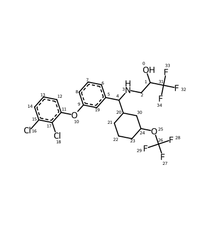 OC(CNC(c1cccc(Oc2cccc(Cl)c2Cl)c1)C1CCCC(OC(F)(F)F)C1)C(F)(F)F